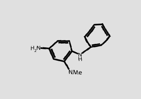 CNc1cc(N)ccc1Nc1ccccc1